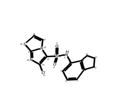 O=S(=O)(Nc1cccc2c1CCC2)c1c(Cl)nc2sccn12